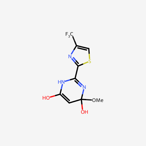 COC1(O)C=C(O)NC(c2nc(C(F)(F)F)cs2)=N1